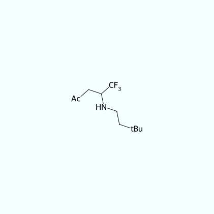 CC(=O)CC(NCCC(C)(C)C)C(F)(F)F